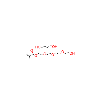 C=C(C)C(=O)OCCOCCOCCOCCO.OCCCCO